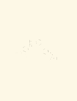 CC(=O)Nc1ccc(Sc2ccccc2CNc2ccc(O)c(Cl)c2)cc1